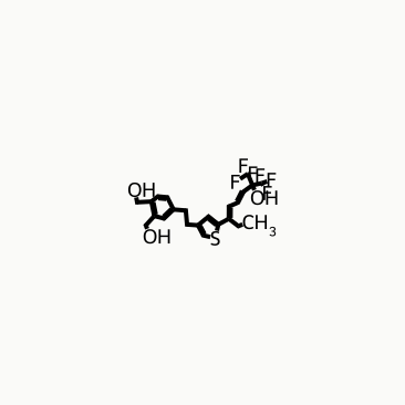 CCC(=CC=CC(O)(C(F)(F)F)C(F)(F)F)c1cc(CCc2ccc(CO)c(CO)c2)cs1